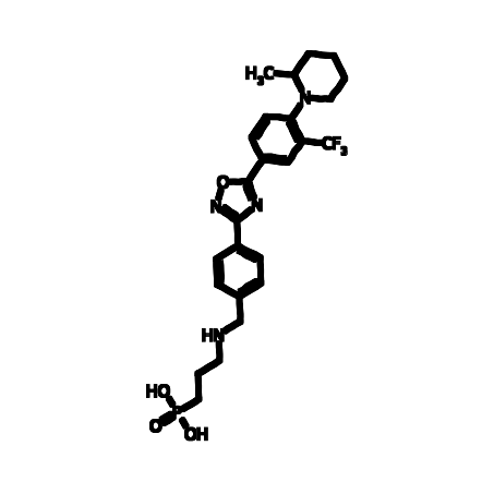 CC1CCCCN1c1ccc(-c2nc(-c3ccc(CNCCCP(=O)(O)O)cc3)no2)cc1C(F)(F)F